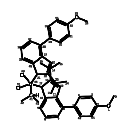 COc1ccc(-c2cccc3c2C=C(C(C)C)[CH]3[Zr]([Cl])([Cl])([CH]2C(C(C)C)=Cc3c(-c4ccc(OC)cc4)cccc32)[GeH]([CH3])[CH3])cc1